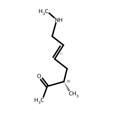 CNC/C=C/C[C@H](C)C(C)=O